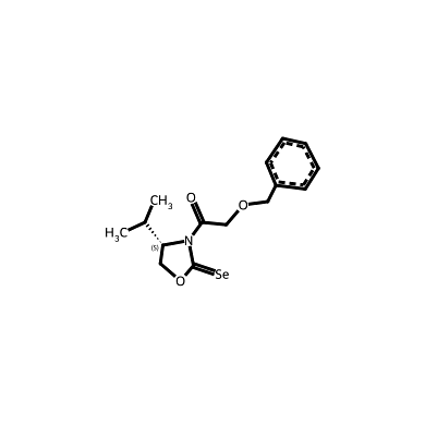 CC(C)[C@H]1COC(=[Se])N1C(=O)COCc1ccccc1